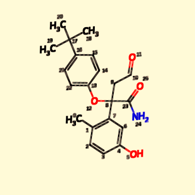 Cc1ccc(O)cc1C(CC=O)(Oc1ccc(C(C)(C)C)cc1)C(N)=O